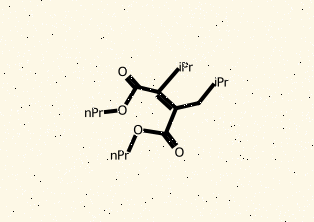 CCCOC(=O)C(CC(C)C)=C(C(=O)OCCC)C(C)C